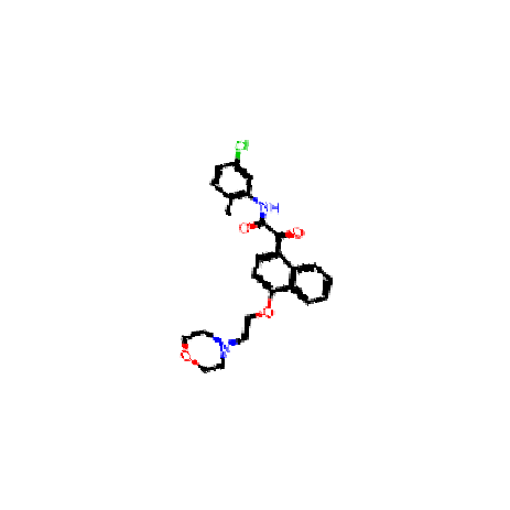 Cc1ccc(Cl)cc1NC(=O)C(=O)c1ccc(OCCN2CCOCC2)c2ccccc12